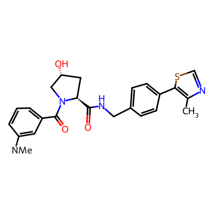 CNc1cccc(C(=O)N2C[C@H](O)C[C@H]2C(=O)NCc2ccc(-c3scnc3C)cc2)c1